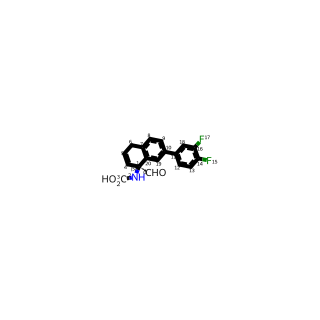 O=C[C@]1(NC(=O)O)C=CCc2ccc(-c3ccc(F)c(F)c3)cc21